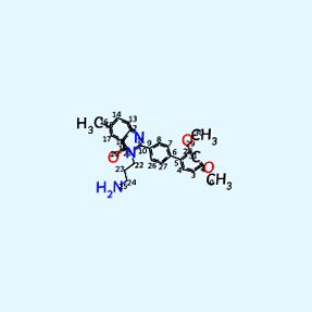 COc1ccc(-c2ccc(-c3nc4ccc(C)cc4c(=O)n3CCCN)cc2)c(OC)c1